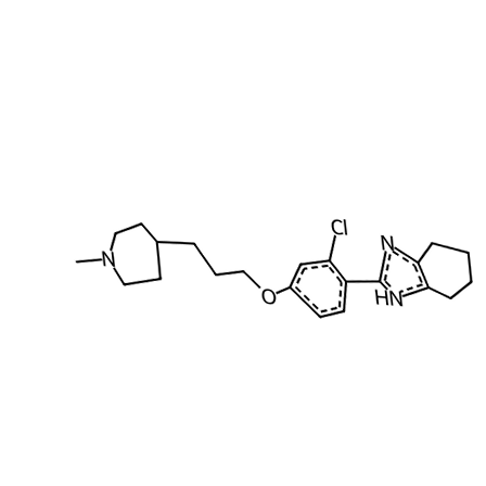 CN1CCC(CCCOc2ccc(-c3nc4c([nH]3)CCCC4)c(Cl)c2)CC1